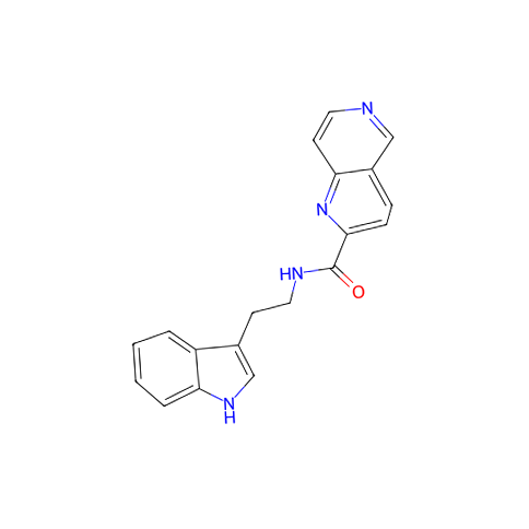 O=C(NCCc1c[nH]c2ccccc12)c1ccc2cnccc2n1